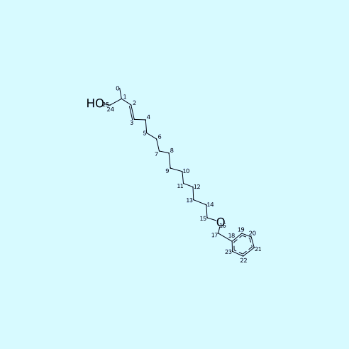 CC(C=CCCCCCCCCCCCCOCc1ccccc1)CO